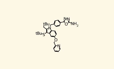 CC(C)(C)Cc1c(SC(C)(C)C)c2cc(OCc3ccccn3)ccc2n1Cc1ccc(-c2nnc(N)o2)cc1